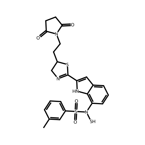 Cc1cccc(S(=O)(=O)N(S)c2cccc3cc(C4=NCC(CCN5C(=O)CCC5=O)S4)[nH]c23)c1